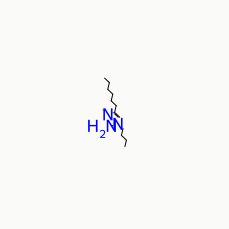 C=N/C(=C\N(N)CCCC)CCCCCC